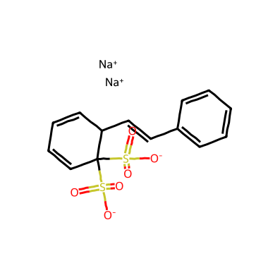 O=S(=O)([O-])C1(S(=O)(=O)[O-])C=CC=CC1C=Cc1ccccc1.[Na+].[Na+]